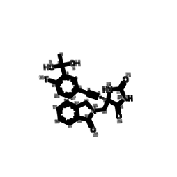 CC(O)(O)c1cc(C#C[C@]2(CN3Cc4ccccc4C3=O)NC(=O)NC2=O)ccc1F